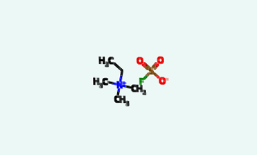 CC[N+](C)(C)C.O=S(=O)([O-])F